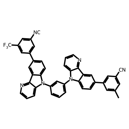 [C-]#[N+]c1cc(-c2ccc3c(c2)c2ncccc2n3-c2cccc(-n3c4ccc(-c5cc(C)cc(C#N)c5)cc4c4ncccc43)c2)cc(C(F)(F)F)c1